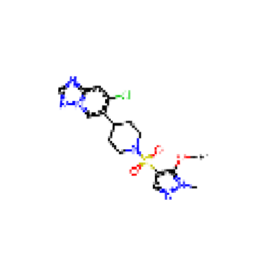 CC(C)Oc1c(S(=O)(=O)N2CCC(c3cn4ncnc4cc3Cl)CC2)cnn1C